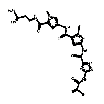 C=C(Br)C(=O)Nc1n[nH]c(C(=O)Nc2cc(C(=O)Nc3cc(C(=O)NCCC(=N)N)n(C)c3)n(C)n2)n1